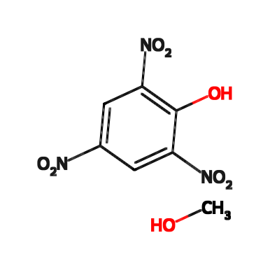 CO.O=[N+]([O-])c1cc([N+](=O)[O-])c(O)c([N+](=O)[O-])c1